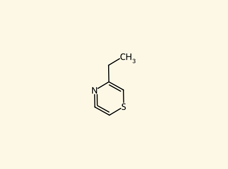 CCC1=CSC=C=N1